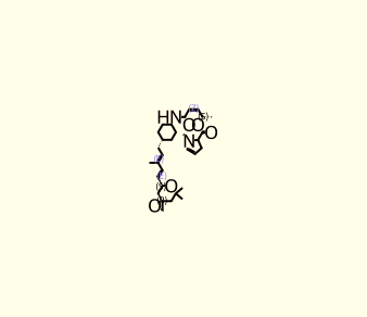 CC(/C=C/[C@@H]1C[C@]2(CO2)CC(C)(C)O1)=C\C[C@H]1CC[C@@H](NC(=O)/C=C\[C@H](C)OC(=O)C2CC=CN2C)CC1